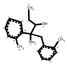 CCC(O)C(N)(Cc1ccccc1C)c1ccccc1C